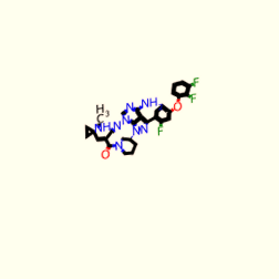 CNC1(C=C(C#N)C(=O)N2CCC[C@@H](n3nc(-c4ccc(Oc5cccc(F)c5F)cc4F)c4c(N)ncnc43)C2)CC1